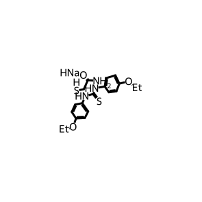 CCOc1ccc(NC(=S)Nc2ccc(OCC)cc2)cc1.NC(=O)CS.[NaH]